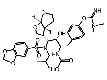 CC(C)CN(C([C@H](O)[C@H](Cc1ccc(OC(=N)N(C)C)cc1)NC(=O)O)[C@@H]1CO[C@H]2OCC[C@H]21)S(=O)(=O)c1ccc2c(c1)OCO2